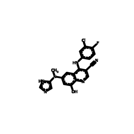 CN(c1cc(O)c2ncc(C#N)c(Nc3ccc(F)c(Cl)c3)c2c1)c1cnc[nH]1